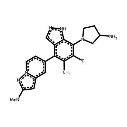 CNc1cc2cc(-c3c(C)c(F)c(N4CCC(N)C4)c4[nH]ncc34)ccn2n1